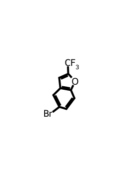 FC(F)(F)c1cc2cc(Br)ccc2o1